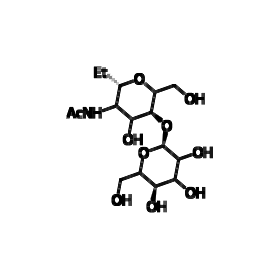 CC[C@@H]1OC(CO)[C@@H](O[C@@H]2OC(CO)[C@H](O)C(O)C2O)C(O)C1NC(C)=O